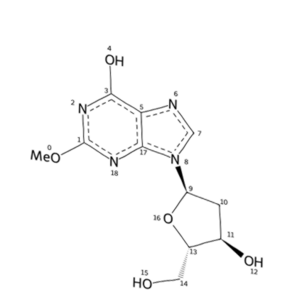 COc1nc(O)c2ncn([C@H]3C[C@@H](O)[C@H](CO)O3)c2n1